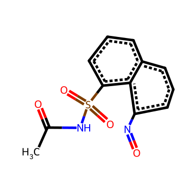 CC(=O)NS(=O)(=O)c1cccc2cccc(N=O)c12